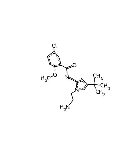 COc1ccc(Cl)cc1C(=O)N=c1sc(C(C)(C)C)cn1CCN